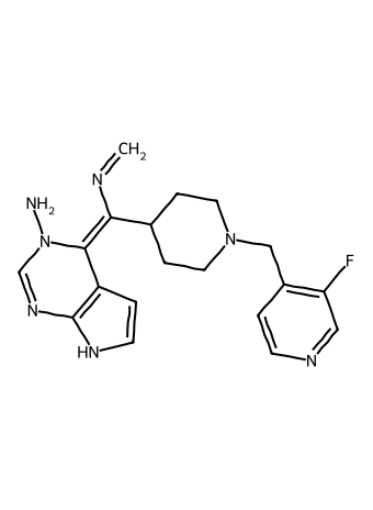 C=N/C(=C1/c2cc[nH]c2N=CN1N)C1CCN(Cc2ccncc2F)CC1